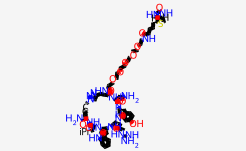 CC(C)C[C@@H]1NC(=O)[C@H](Cc2c[nH]c3ccccc23)NC(=O)[C@H](CCCNC(=N)N)NC(=O)[C@H](Cc2ccc(O)cc2)NC(=O)[C@H](CC(N)=O)NC(=O)[C@@H](NC(=O)CCOCCOCCOCCOCCOCCNC(=O)CCCC[C@@H]2SC[C@@H]3NC(=O)N[C@@H]32)Cc2cn(nn2)CCCC[C@@H](C(N)=O)NC1=O